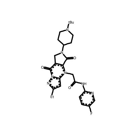 CCc1cc2n(CC(=O)Nc3ccc(F)cn3)c3c(c(=O)n2n1)CN(C1CCN(C(C)(C)C)CC1)C3=O